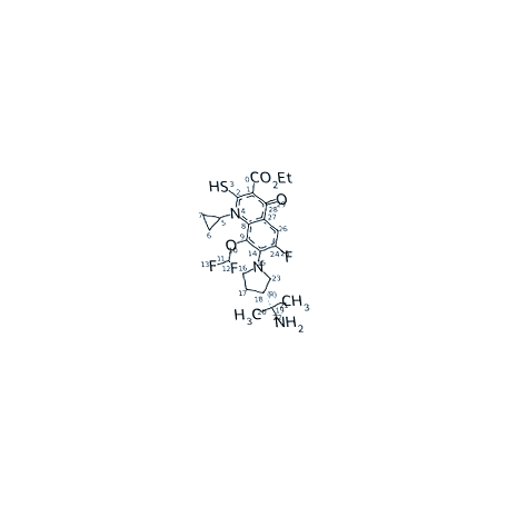 CCOC(=O)c1c(S)n(C2CC2)c2c(OC(F)F)c(N3CC[C@@H](C(C)(C)N)C3)c(F)cc2c1=O